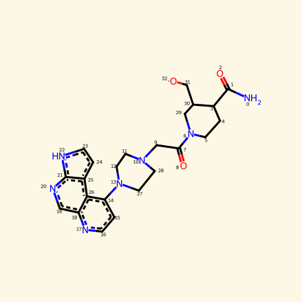 NC(=O)C1CCN(C(=O)CN2CCN(c3ccnc4cnc5[nH]ccc5c34)CC2)CC1C[O]